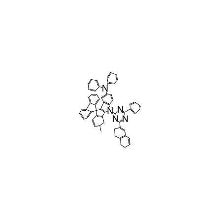 CC1C=CC2=C(C1)c1c(c3cc(N(c4ccccc4)c4ccccc4)ccc3n1-c1nc(C3=CC4=C(CCC=C4)CC3)nc(-c3ccccc3)n1)C21c2ccccc2-c2ccccc21